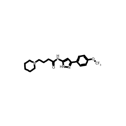 O=C(CCCN1CCCCC1)Nc1cc(-c2ccc(OC(F)(F)F)cc2)n[nH]1